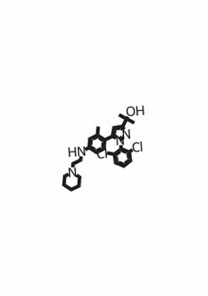 Cc1cc(NCCN2CCCCC2)ccc1-c1cc(C(C)(C)O)nn1-c1c(Cl)cccc1Cl